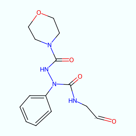 O=[C]CNC(=O)N(NC(=O)N1CCOCC1)c1ccccc1